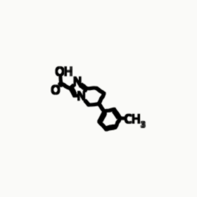 Cc1cccc(C2CCc3nc(C(=O)O)cn3C2)c1